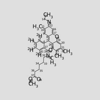 [2H]c1c([2H])c([2H])c(-c2c3cc(C)/c(=N\CC)cc-3oc3cc(C)c(C)cc23)c(C(=O)N(C)CCCCCC(=O)OC)c1[2H]